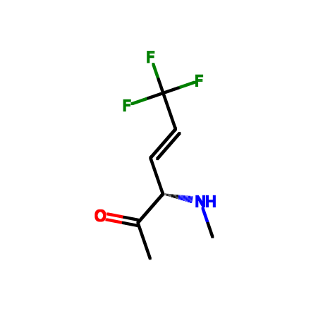 CN[C@@H](/C=C/C(F)(F)F)C(C)=O